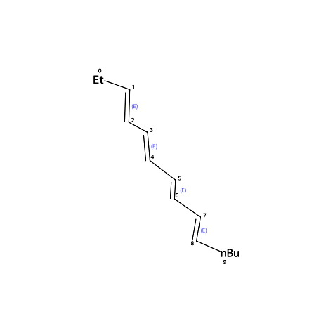 [CH2]C/C=C/C=C/C=C/C=C/CCCC